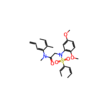 C=C/C=C(\C(C)=C/C)N(C)C(=O)CN(c1cc(OC)ccc1OC)S(=O)(=O)C(/C=C\C)=C/C